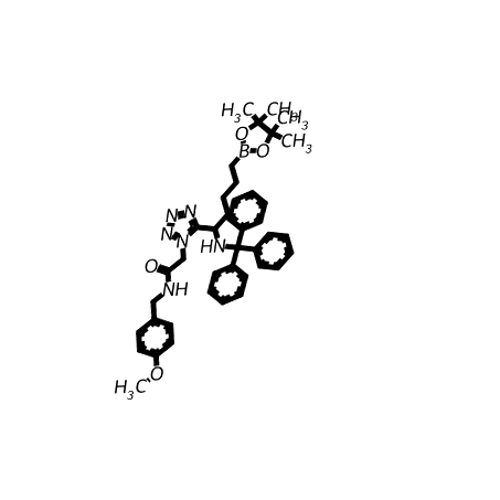 COc1ccc(CNC(=O)Cn2nnnc2C(CCCCB2OC(C)(C)C(C)(C)O2)NC(c2ccccc2)(c2ccccc2)c2ccccc2)cc1